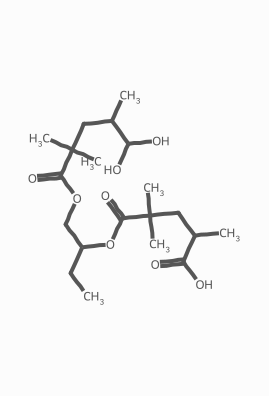 CCC(COC(=O)C(C)(C)CC(C)C(O)O)OC(=O)C(C)(C)CC(C)C(=O)O